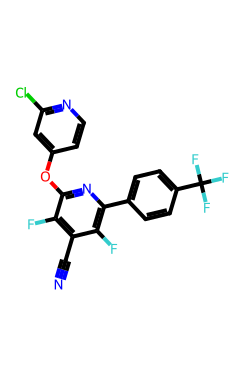 N#Cc1c(F)c(Oc2ccnc(Cl)c2)nc(-c2ccc(C(F)(F)F)cc2)c1F